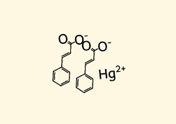 O=C([O-])/C=C/c1ccccc1.O=C([O-])/C=C/c1ccccc1.[Hg+2]